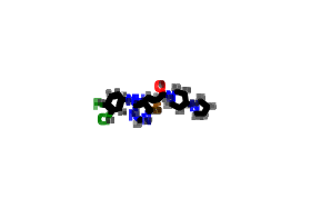 O=C(c1cc2c(Nc3ccc(F)c(Cl)c3)ncnc2s1)N1CCC(N2CCCC2)CC1